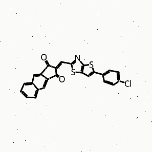 O=C1C(=Cc2nc3sc(-c4ccc(Cl)cc4)cc3s2)C(=O)c2cc3ccccc3cc21